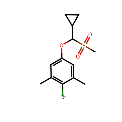 Cc1cc(OC(C2CC2)S(C)(=O)=O)cc(C)c1Br